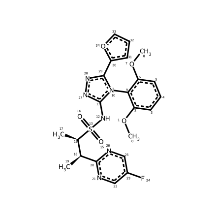 COc1cccc(OC)c1-n1c(NS(=O)(=O)[C@H](C)[C@H](C)c2ncc(F)cn2)nnc1-c1ccco1